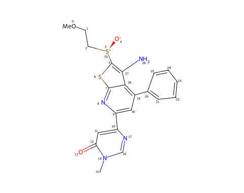 COCC[S@@+]([O-])c1sc2nc(-c3cc(=O)n(C)cn3)cc(-c3ccccc3)c2c1N